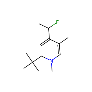 C=C(/C(C)=C\N(C)CC(C)(C)C)C(C)F